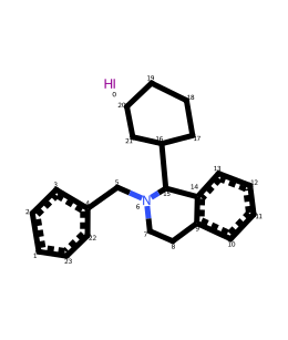 I.c1ccc(CN2CCc3ccccc3C2C2CCCCC2)cc1